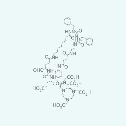 O=CC(CCC(=O)NCCCCCCCC(=O)N[C@@H](Cc1ccccc1)C(=O)N[C@@H](Cc1ccccc1)C(=O)NCCNC(=O)CCC(=O)Nc1ccc(CC(CN2CCN(CC(=O)O)CCN(CC(=O)O)CC2)N(CC(=O)O)CC(=O)O)cc1)NC(=O)NC(CCC(=O)O)C(=O)O